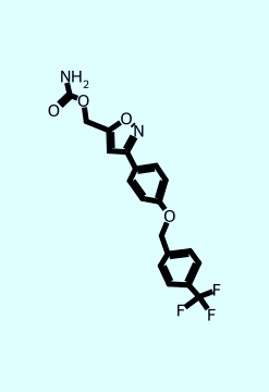 NC(=O)OCc1cc(-c2ccc(OCc3ccc(C(F)(F)F)cc3)cc2)no1